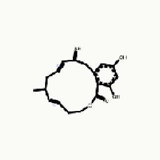 CC1/C=C/CCOC(=O)c2c(O)cc(O)cc2CC(=N)/C=C/C1